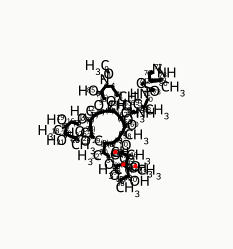 CON=C1C[C@@H](C)O[C@@H](O[C@@H]2[C@@H](C)[C@H](O[C@H]3C[C@@](C)(O)[C@@H](O)[C@H](C)O3)[C@@H](C)C(=O)C[C@H]([C@@H](C)CO[C@@H]3O[C@H](C)[C@@H](O)[C@@H](OC)[C@H]3OC)[C@H](C)[C@@H](OC(=O)CC(C)C)[C@@H](C)C(=O)[C@@](C)(OC(=O)NC(C)(C)CNS(=O)(=O)c3cn[nH]c3C)C[C@@H]2C)[C@@H]1O